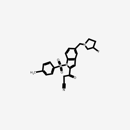 Cc1ccc(S(=O)(=O)n2c(C(=O)CC#N)cc3cc(CN4CCC(F)C4)ccc32)cc1